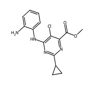 COC(=O)c1nc(C2CC2)nc(Nc2ccccc2N)c1Cl